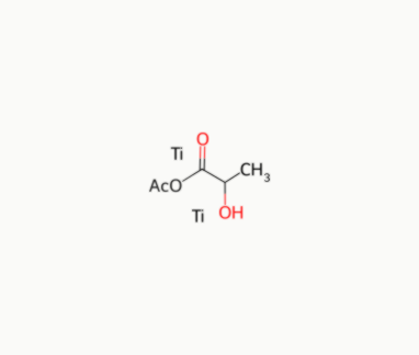 CC(=O)OC(=O)C(C)O.[Ti].[Ti]